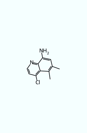 Cc1cc(N)c2nccc(Cl)c2c1C